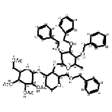 CC(=O)OCC1OC(OC2CCOC(COCc3ccccc3)C2OC2OC(C)C(OCc3ccccc3)C(OCc3ccccc3)C2OCc2ccccc2)C(OC(C)=O)C(OC(C)=O)C1OC(C)=O